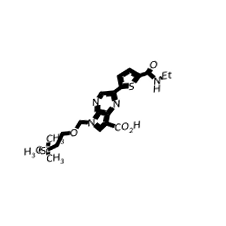 CCNC(=O)c1ccc(-c2cnc3c(n2)c(C(=O)O)cn3COCC[Si](C)(C)C)s1